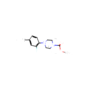 C[C@@H]1CN(c2ccc([N+](=O)[O-])cc2F)C[C@H](C)N1C(=O)OC(C)(C)C